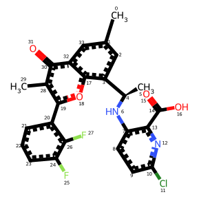 Cc1cc([C@@H](C)Nc2ccc(Cl)nc2C(=O)O)c2oc(-c3cccc(F)c3F)c(C)c(=O)c2c1